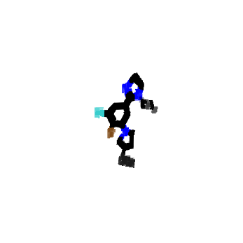 CO[C@@H]1CCN(c2cc(-c3nccn3C)cc(F)c2Br)C1